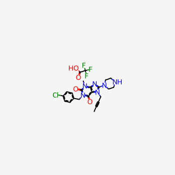 CC#CCn1c(N2CCNCC2)nc2c1c(=O)n(Cc1ccc(Cl)cc1)c(=O)n2C.O=C(O)C(F)(F)F